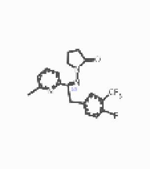 Cc1cccc(/C(Cc2ccc(F)c(C(F)(F)F)c2)=N\N2CCCC2=O)n1